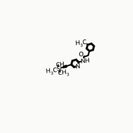 Cc1cccc(CC(=O)Nc2ccc(C#C[Si](C)(C)C)cn2)c1